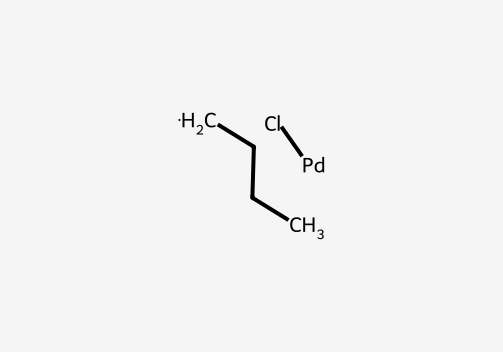 [CH2]CCC.[Cl][Pd]